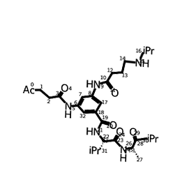 CC(=O)CCC(=O)Nc1cc(NC(=O)CCCNC(C)C)cc(C(=O)N[C@H](C(=O)N[C@@H](C)C(=O)C(C)C)C(C)C)c1